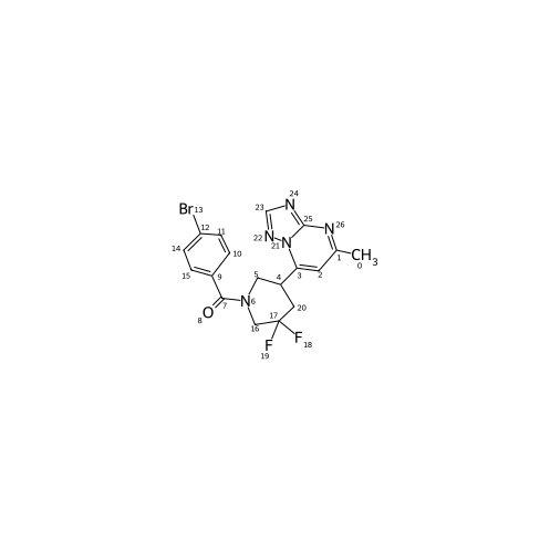 Cc1cc(C2CN(C(=O)c3ccc(Br)cc3)CC(F)(F)C2)n2ncnc2n1